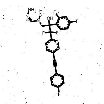 N/N=C\N(N)CC(O)(c1ccc(F)cc1F)C(F)(F)c1ccc(C#Cc2ccc(F)cc2)cn1